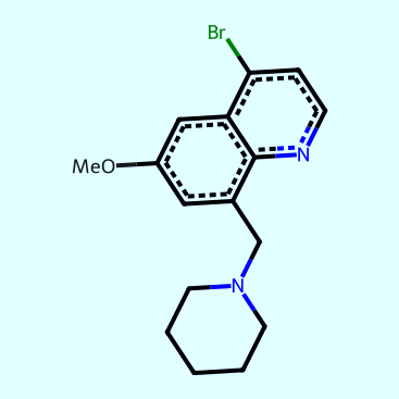 COc1cc(CN2CCCCC2)c2nccc(Br)c2c1